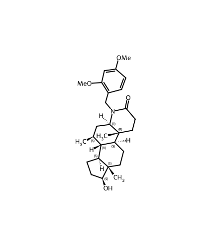 COc1ccc(CN2C(=O)CC[C@]3(C)[C@H]4CC[C@]5(C)[C@@H](O)CC[C@H]5[C@@H]4[C@@H](C)C[C@@H]23)c(OC)c1